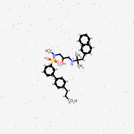 CN(CC(O)CNC(C)(C)Cc1ccc2ccccc2c1)S(=O)(=O)c1cccc(-c2ccc(CCC(=O)O)cc2)c1